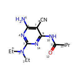 CCN(CC)c1nc(N)c(C#N)c(NC(=O)C(C)C)n1